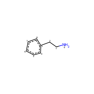 N[CH]Cc1ccccc1